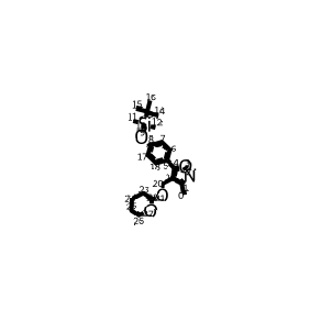 Cc1noc(-c2ccc(O[Si](C)(C)C(C)(C)C)cc2)c1COC1CCCCO1